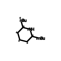 CCCCC1CCCC(CCCC)N1